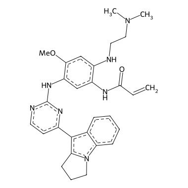 C=CC(=O)Nc1cc(Nc2nccc(-c3c4n(c5ccccc35)CCC4)n2)c(OC)cc1NCCN(C)C